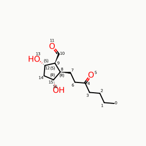 CCCCC(=O)CC[C@@H]1[C@H](C=O)[C@@H](O)C[C@H]1O